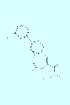 CCCN(CCC)C(=O)C1=Cc2ccc(-c3cccc([S+](C)[O-])c3)cc2N=C(N)C1